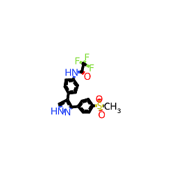 CS(=O)(=O)c1ccc(-c2n[nH]cc2-c2ccc(NC(=O)C(F)(F)F)cc2)cc1